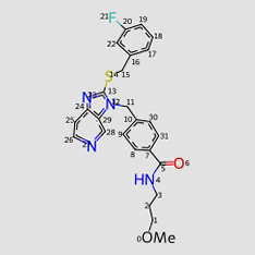 COCCCNC(=O)c1ccc(Cn2c(SCc3cccc(F)c3)nc3ccncc32)cc1